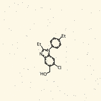 [CH2]Cc1ccc(-n2c(CC)nc3cc(CO)c(Cl)cc32)cc1